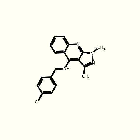 Cc1nn(C)c2nc3ccccc3c(NCc3ccc(Cl)cc3)c12